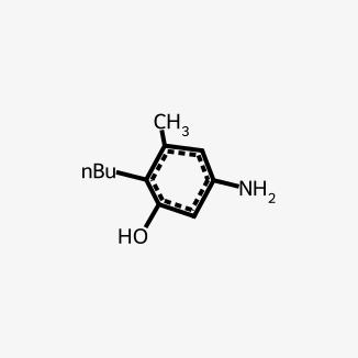 CCCCc1c(C)cc(N)cc1O